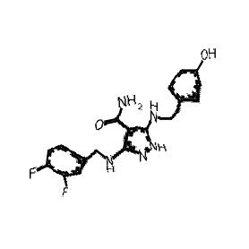 NC(=O)c1c(NCc2ccc(F)c(F)c2)n[nH]c1NCc1ccc(O)cc1